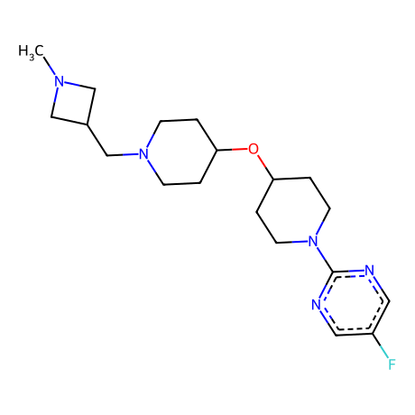 CN1CC(CN2CCC(OC3CCN(c4ncc(F)cn4)CC3)CC2)C1